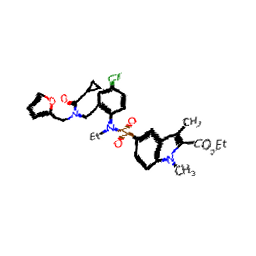 CCOC(=O)c1c(C)c2cc(S(=O)(=O)N(CC)c3ccc(Cl)cc3CN(Cc3ccco3)C(=O)C3CC3)ccc2n1C